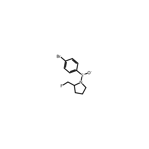 [O-][S+](c1ccc(Br)cc1)N1CCCC1CF